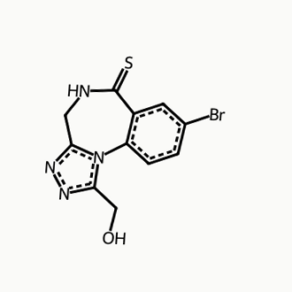 OCc1nnc2n1-c1ccc(Br)cc1C(=S)NC2